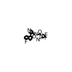 N#C[C@@H]1CC(F)(F)CN1C(=O)CNC(=O)c1ccncc1-c1cccc2c(F)cccc12